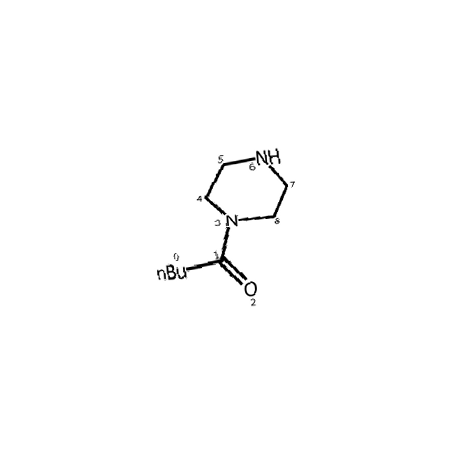 CCCCC(=O)N1CCNCC1